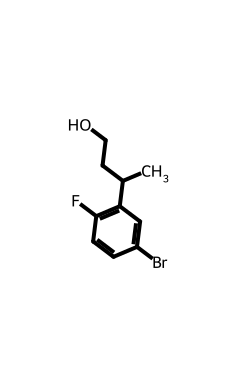 CC(CCO)c1cc(Br)ccc1F